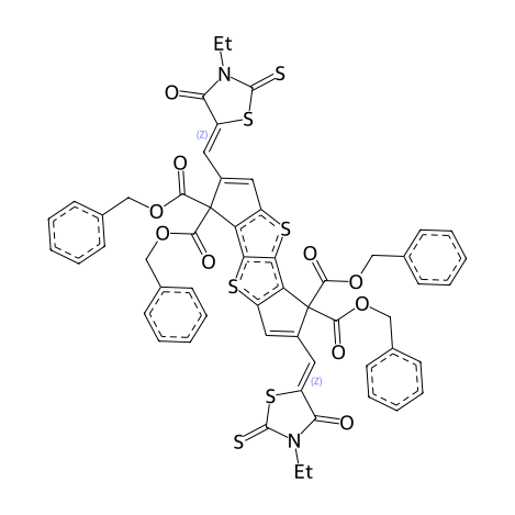 CCN1C(=O)/C(=C/C2=Cc3sc4c5c(sc4c3C2(C(=O)OCc2ccccc2)C(=O)OCc2ccccc2)C=C(/C=C2\SC(=S)N(CC)C2=O)C5(C(=O)OCc2ccccc2)C(=O)OCc2ccccc2)SC1=S